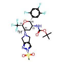 [2H][C@@]1(N2Cc3cn(S(C)(=O)=O)nc3C2)C[C@H](NC(=O)OC(C)(C)C)[C@@H](c2cc(F)c(F)cc2F)O[C@@H]1C(F)(F)F